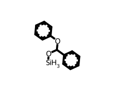 [SiH3]OC(Oc1ccccc1)c1ccccc1